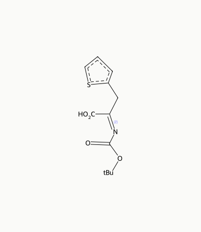 CC(C)(C)OC(=O)/N=C(/Cc1cccs1)C(=O)O